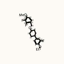 CCOc1ccc(C2CCC(OCc3ccc(OC)c(F)c3F)CC2)cc1F